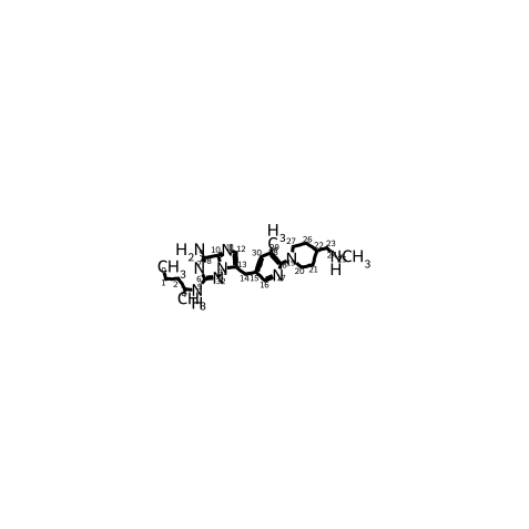 CCCC(C)Nc1nc(N)c2ncc(Cc3cnc(N4CCC(CNC)CC4)c(C)c3)n2n1